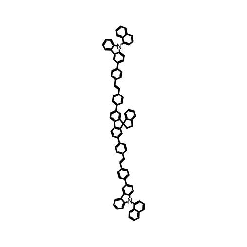 C(=C\c1ccc(-c2ccc3c(c2)c2ccccc2n3-c2cccc3ccccc23)cc1)/c1ccc(-c2ccc3c(c2)C2(CCc4ccccc42)c2cc(-c4ccc(/C=C/c5ccc(-c6ccc7c(c6)c6ccccc6n7-c6cccc7ccccc67)cc5)cc4)ccc2-3)cc1